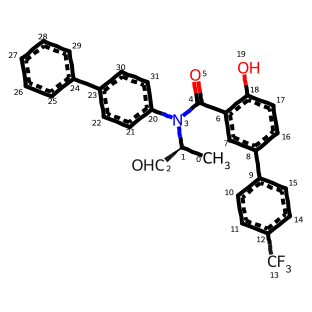 C[C@@H](C=O)N(C(=O)c1cc(-c2ccc(C(F)(F)F)cc2)ccc1O)c1ccc(-c2ccccc2)cc1